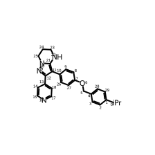 CC(C)c1ccc(COc2ccc(-c3c(-c4ccncc4)nn4c3NCCC4)cc2)cc1